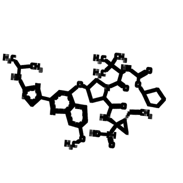 C=C[C@@H]1C[C@]1(NC(=O)C1C[C@@H](Oc2cc(-c3csc(NC(C)C)n3)nc3cc(OC)ccc23)CN1C(=O)C(NC(=O)OC1CCCC1)C(C)(C)C)[PH](=O)O